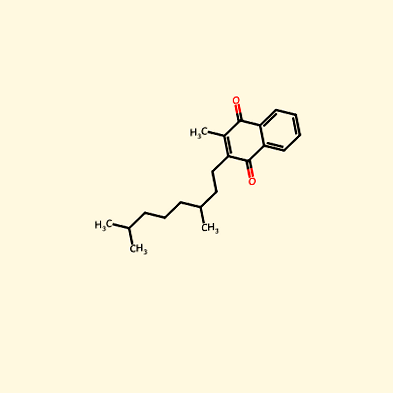 CC1=C(CCC(C)CCCC(C)C)C(=O)c2ccccc2C1=O